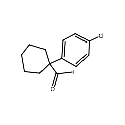 O=C(I)C1(c2ccc(Cl)cc2)CCCCC1